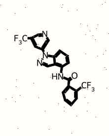 O=C(Nc1cccc2c1cnn2-c1cncc(C(F)(F)F)c1)c1ccccc1C(F)(F)F